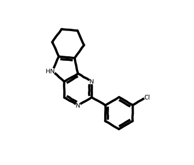 Clc1cccc(-c2ncc3[nH]c4c(c3n2)CCCC4)c1